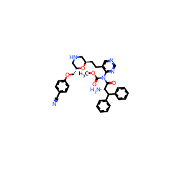 COC(=O)N(C(=O)[C@@H](N)C(c1ccccc1)c1ccccc1)c1ncncc1CC[C@@H]1CNC[C@@H](COc2ccc(C#N)cc2)O1